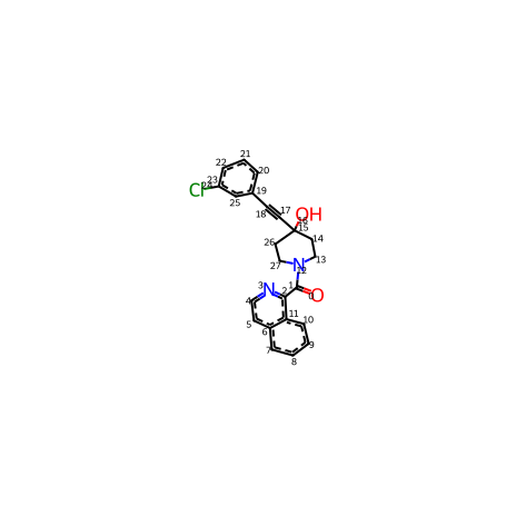 O=C(c1nccc2ccccc12)N1CCC(O)(C#Cc2cccc(Cl)c2)CC1